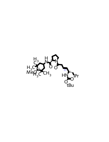 CON1C(C)(C)CC(NC(=O)[C@H]2CCCN2C(=O)C/C=C/[C@H](CC(C)C)NC(=O)OC(C)(C)C)CC1(C)C